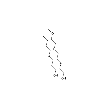 CCCCOCCCO.COCCOCCOCCO